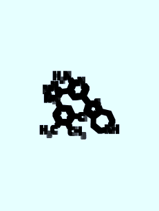 Cc1cc(-n2nnnc2-c2cc(-c3cc4c(s3)CCNCC4)cnc2N)cc(Cl)c1C